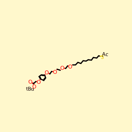 CC(=O)SCCCCCCCCCCCOCCOCCOCCOc1ccc(OCC(=O)OC(C)(C)C)cc1